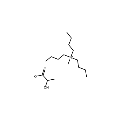 CC(O)C(=O)[O-].CCCC[N+](C)(CCCC)CCCC